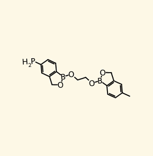 Cc1ccc2c(c1)COB2OCCOB1OCc2cc(P)ccc21